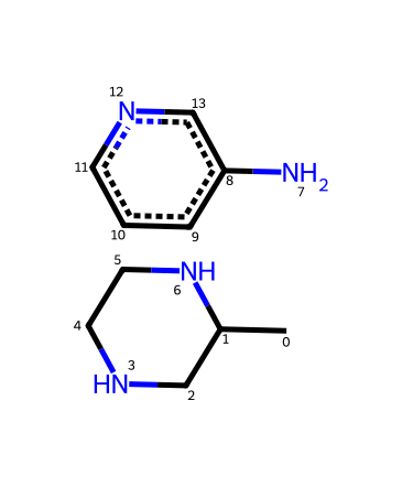 CC1CNCCN1.Nc1cccnc1